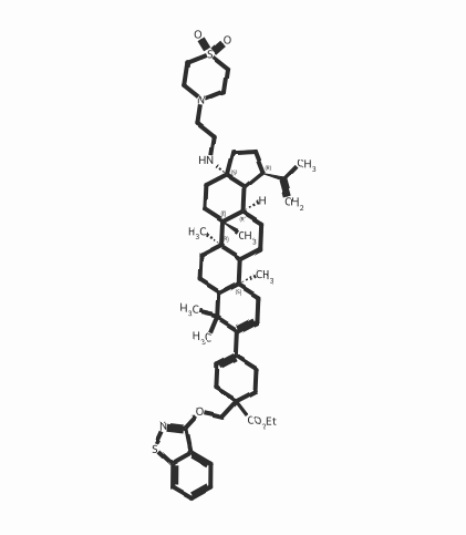 C=C(C)[C@@H]1CC[C@]2(NCCN3CCS(=O)(=O)CC3)CC[C@]3(C)[C@H](CCC4[C@@]5(C)CC=C(C6=CCC(COc7nsc8ccccc78)(C(=O)OCC)CC6)C(C)(C)C5CC[C@]43C)C12